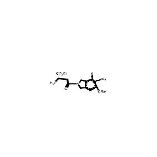 CCOC(=O)[C@@H](C)CC(=O)N1Cc2cc(OC)c(O)c(F)c2C1